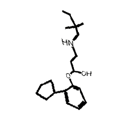 CCC(C)(C)CNCCC(O)Oc1ccccc1C1CCCC1